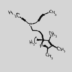 CC#CP(C#CC)CCC1(C)P=C(C)C(C)=C1C